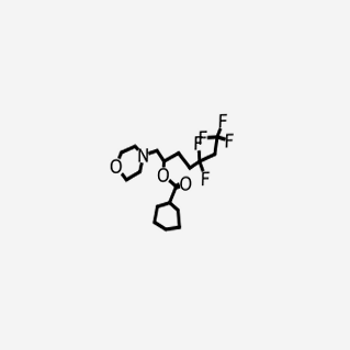 O=C(OC(CCC(F)(F)CC(F)(F)F)CN1CCOCC1)C1CCCCC1